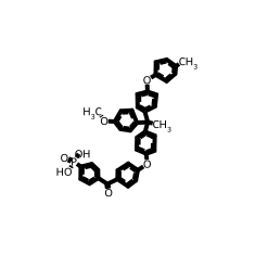 COc1ccc(C(C)(c2ccc(Oc3ccc(C)cc3)cc2)c2ccc(Oc3ccc(C(=O)c4ccc(P(=O)(O)O)cc4)cc3)cc2)cc1